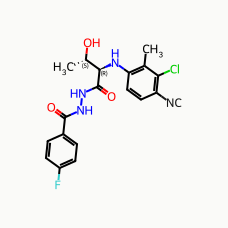 [C-]#[N+]c1ccc(N[C@@H](C(=O)NNC(=O)c2ccc(F)cc2)[C@H](C)O)c(C)c1Cl